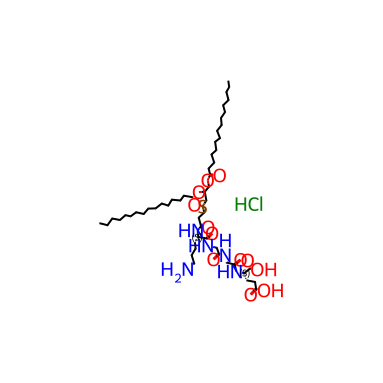 CCCCCCCCCCCCCCCC(=O)OCC(CSCCC(=O)N[C@@H](CCCCN)C(=O)NCC(=O)NCC(=O)N[C@@H](CCC(=O)O)C(=O)O)OC(=O)CCCCCCCCCCCCCCC.Cl